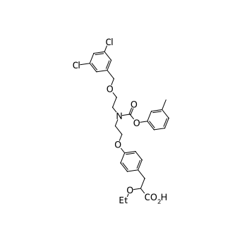 CCOC(Cc1ccc(OCCN(CCOCc2cc(Cl)cc(Cl)c2)C(=O)Oc2cccc(C)c2)cc1)C(=O)O